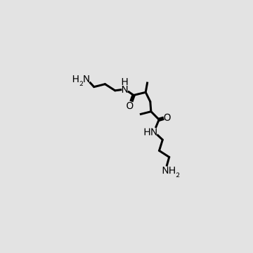 CC(CC(C)C(=O)NCCCN)C(=O)NCCCN